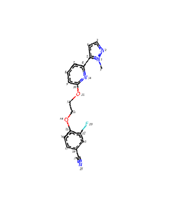 Cn1nccc1-c1cccc(OCCOc2ccc(C#N)cc2F)n1